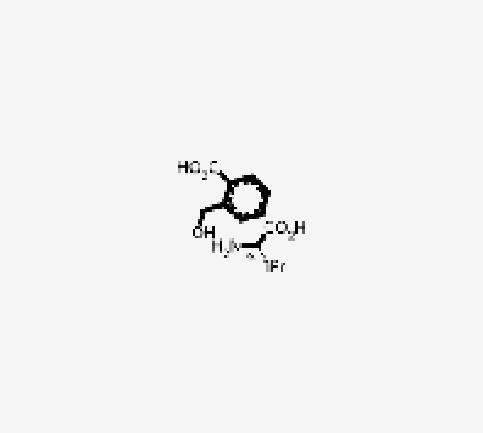 CC(C)[C@H](N)C(=O)O.O=C(O)c1ccccc1CO